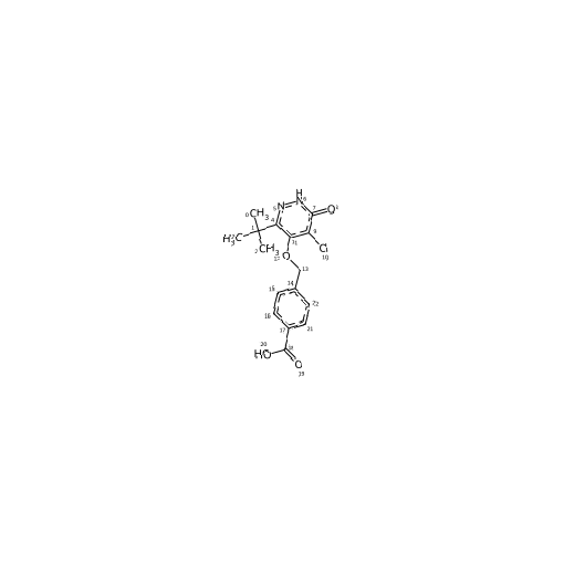 CC(C)(C)c1n[nH]c(=O)c(Cl)c1OCc1ccc(C(=O)O)cc1